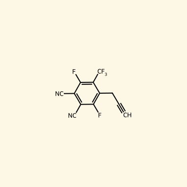 C#CCc1c(F)c(C#N)c(C#N)c(F)c1C(F)(F)F